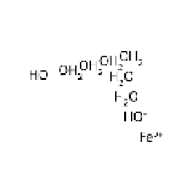 O.O.O.O.O.O.[Fe+2].[OH-].[OH-]